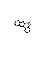 Oc1nc2cnccc2cc1-c1ccccc1C(F)(F)F